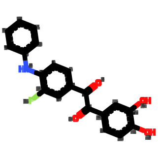 O=C(C(=O)c1ccc(Nc2ccccc2)c(F)c1)c1ccc(O)c(O)c1